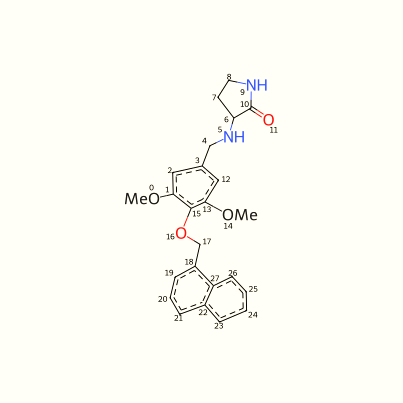 COc1cc(CNC2CCNC2=O)cc(OC)c1OCc1cccc2ccccc12